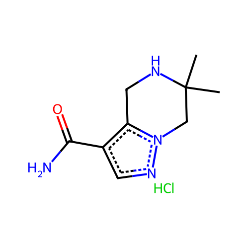 CC1(C)Cn2ncc(C(N)=O)c2CN1.Cl